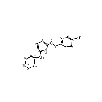 Clc1ccc(COc2cccc(NC3CCNCC3)n2)nc1